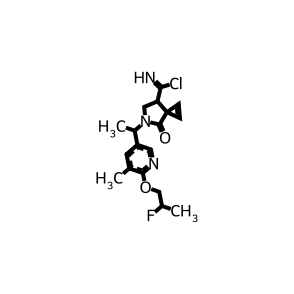 Cc1cc(C(C)N2CC(C(=N)Cl)C3(C=C3)C2=O)cnc1OCC(C)F